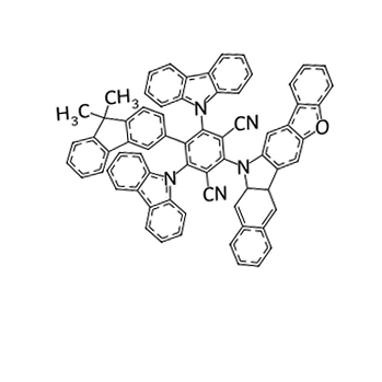 CC1(C)c2ccccc2-c2cc(-c3c(-n4c5ccccc5c5ccccc54)c(C#N)c(N4c5cc6c(cc5C5C=c7ccccc7=CC54)oc4ccccc46)c(C#N)c3-n3c4ccccc4c4ccccc43)ccc21